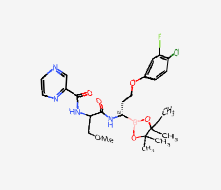 COCC(NC(=O)c1cnccn1)C(=O)N[C@H](CCOc1ccc(Cl)c(F)c1)B1OC(C)(C)C(C)(C)O1